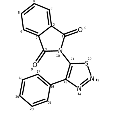 O=C1c2ccccc2C(=O)N1c1snnc1-c1ccccc1